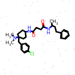 CC(CCc1ccccc1)NC(=O)CCC(=O)NC1CCC(Cc2ccc(Cl)cc2)(N(C)C)CC1